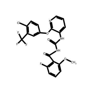 COc1cccc(F)c1C(=O)NC(=O)Nc1cccnc1Oc1ccc(Cl)c(C(F)(F)F)c1